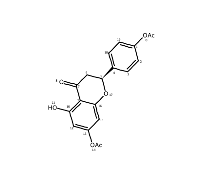 CC(=O)Oc1ccc([C@@H]2CC(=O)c3c(O)cc(OC(C)=O)cc3O2)cc1